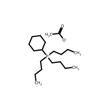 CC(=O)[O-].CCCC[P+](CCCC)(CCCC)C1CCCCC1